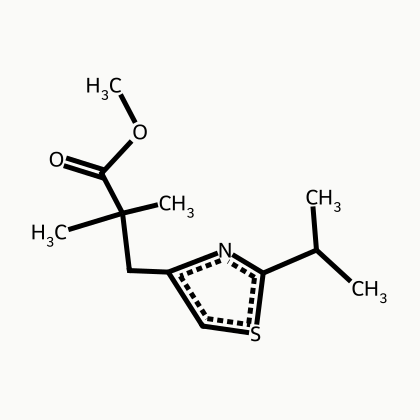 COC(=O)C(C)(C)Cc1csc(C(C)C)n1